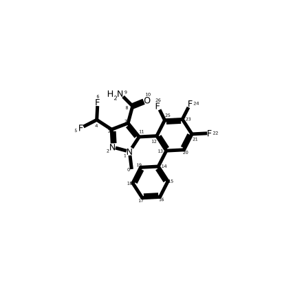 Cn1nc(C(F)F)c(C(N)=O)c1-c1c(-c2ccccc2)cc(F)c(F)c1F